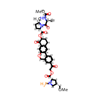 COC[C@H]1C[C@@H](C(=O)OCC(=O)c2ccc3c(c2)COc2cc4c(cc2-3)CCC(OC(=O)[C@@H]2CC[C@H](C)N2C(=O)[C@@H](NC(=O)OC)C(C)C)C4=O)N(P)C1